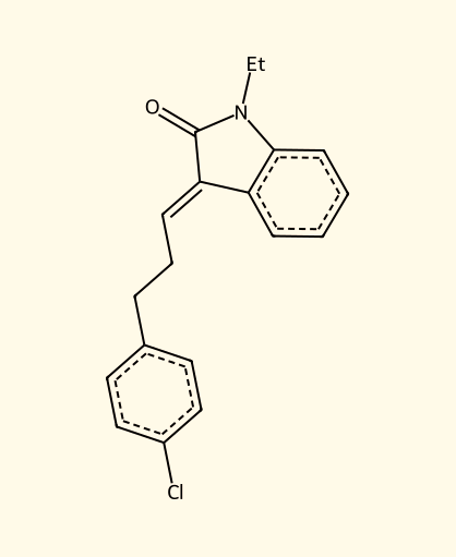 CCN1C(=O)/C(=C/CCc2ccc(Cl)cc2)c2ccccc21